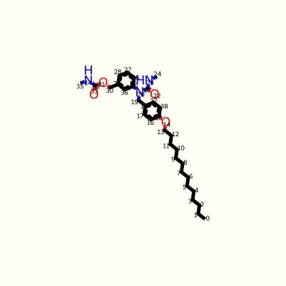 CCCCCCCCCCCCCCOc1ccc(CN(C(=O)NC)c2cccc(COC(=O)NC)c2)cc1